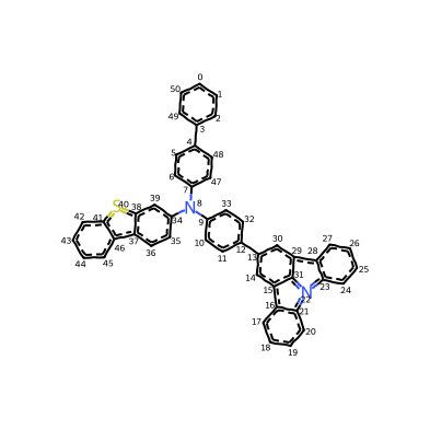 c1ccc(-c2ccc(N(c3ccc(-c4cc5c6ccccc6n6c7ccccc7c(c4)c56)cc3)c3ccc4c(c3)sc3ccccc34)cc2)cc1